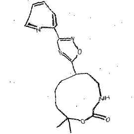 CC1(C)CCCC(c2nc(-c3ccccn3)no2)CCNC(=O)O1